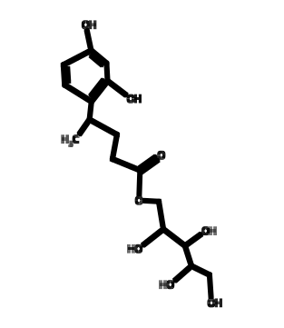 CC(CCC(=O)OCC(O)C(O)C(O)CO)c1ccc(O)cc1O